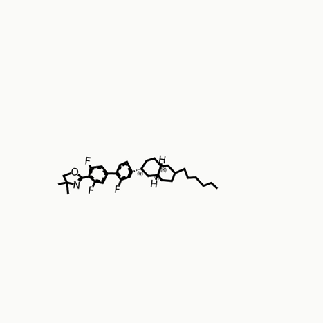 CCCCCCC1CC[C@@H]2C[C@H](c3ccc(-c4cc(F)c(C5=NC(C)(C)CO5)c(F)c4)c(F)c3)CC[C@@H]2C1